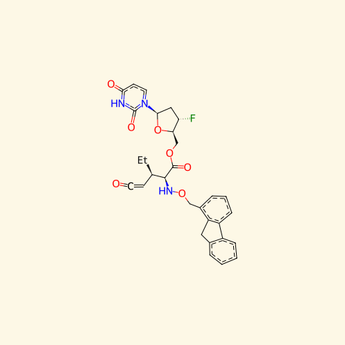 CC[C@H](C=C=O)[C@H](NOCc1cccc2c1Cc1ccccc1-2)C(=O)OC[C@H]1O[C@@H](n2ccc(=O)[nH]c2=O)C[C@@H]1F